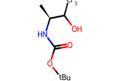 C[C@H](NC(=O)OC(C)(C)C)C(O)C(F)(F)F